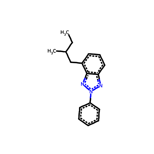 CCC(C)Cc1cccc2nn(-c3ccccc3)nc12